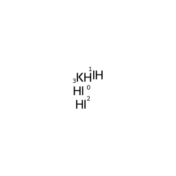 I.I.I.[KH]